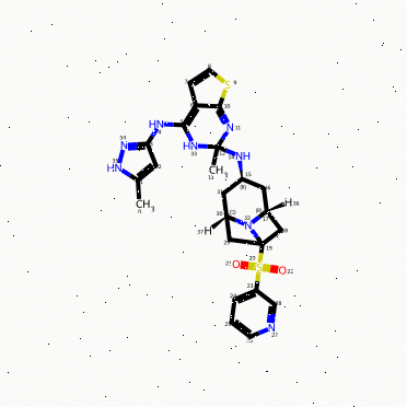 Cc1cc(NC2=c3ccsc3=NC(C)(N[C@H]3C[C@@H]4CC5(S(=O)(=O)c6cccnc6)C[C@H](C3)N45)N2)n[nH]1